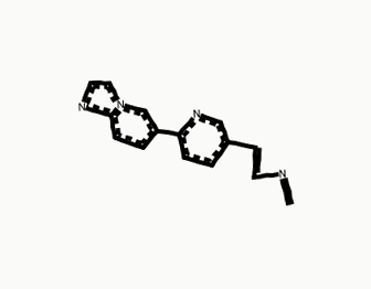 C=N/C=C/c1ccc(-c2ccc3nccn3c2)nc1